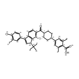 Cc1cc(N2CCN(C(=O)c3ccc4c(-c5ccc(Cl)c(F)c5)cn(C(C)(C)C)c4n3)[C@@H](C)C2)nc(C)c1C(=O)O